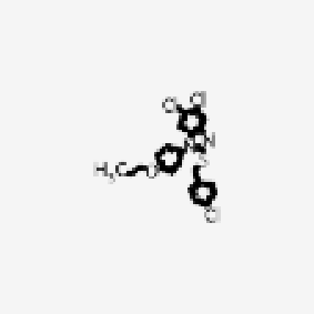 CCCOc1ccc(-n2c(SCc3ccc(Cl)cc3)nc3cc(Cl)c(Cl)cc32)cc1